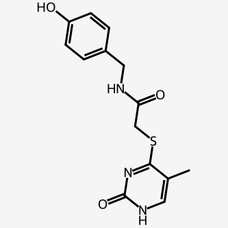 Cc1c[nH]c(=O)nc1SCC(=O)NCc1ccc(O)cc1